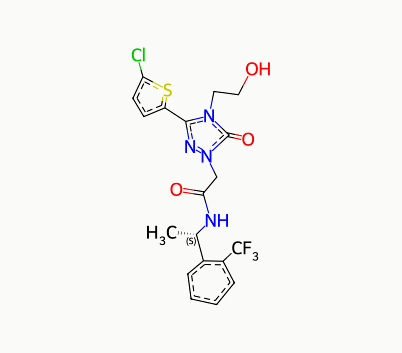 C[C@H](NC(=O)Cn1nc(-c2ccc(Cl)s2)n(CCO)c1=O)c1ccccc1C(F)(F)F